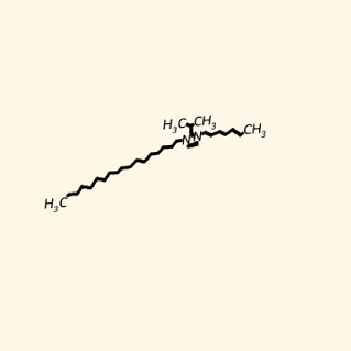 CCCCCCCCCCCCCCCCCC[n+]1ccn(CCCCCCC)c1C(C)C